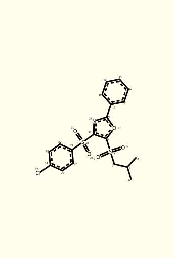 CC(C)CS(=O)(=O)c1oc(-c2ccccc2)nc1S(=O)(=O)c1ccc(Cl)cc1